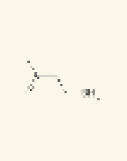 BCCC(=C)C